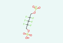 O=[SH](=O)OCC(F)(F)C(F)(F)C(F)(F)COS(=O)(=O)O